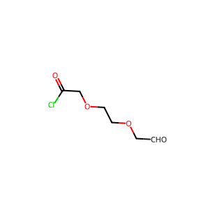 O=CCOCCOCC(=O)Cl